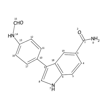 NC(=O)c1ccc2[nH]cc(-c3ccc(NC=O)cc3)c2c1